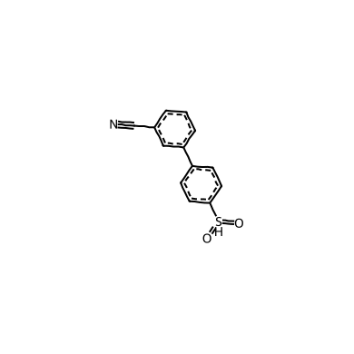 N#Cc1cccc(-c2ccc([SH](=O)=O)cc2)c1